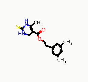 CC1=C(C(=O)OCCc2cc(C)cc(C)c2)CNC(=S)N1